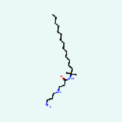 CCCCCCCCCCCCCCC(C)(C)NC(=O)CCNCCCN